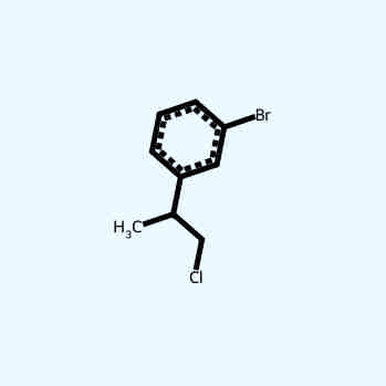 C[C](CCl)c1cccc(Br)c1